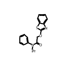 CC(C)N(C(=O)COc1nc2ccccc2s1)c1ccccc1